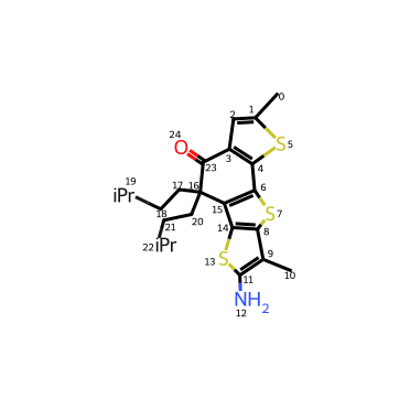 Cc1cc2c(s1)-c1sc3c(C)c(N)sc3c1C(CCC(C)C)(CCC(C)C)C2=O